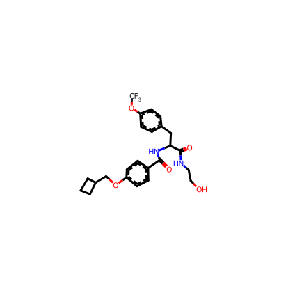 O=C(NC(Cc1ccc(OC(F)(F)F)cc1)C(=O)NCCO)c1ccc(OCC2CCC2)cc1